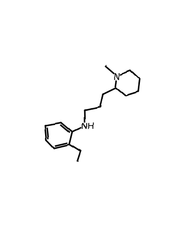 CCc1ccccc1NCCCC1CCCCN1C